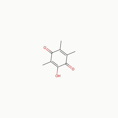 CC1=C(C)C(=O)C(O)=C(C)C1=O